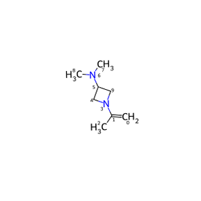 C=C(C)N1CC(N(C)C)C1